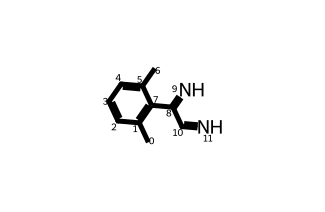 Cc1cccc(C)c1C(=N)C=N